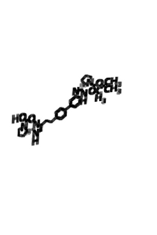 CC(C)(C)OC(=O)N1CCC[C@H]1c1nc2cc(-c3ccc(CCc4c[nH]c([C@@H]5CCCN5C(=O)O)n4)cc3)ccc2[nH]1